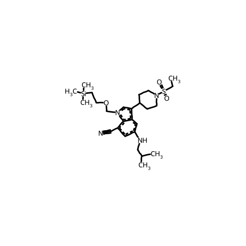 CCS(=O)(=O)N1CCC(c2cn(COCC[Si](C)(C)C)c3c(C#N)cc(NCC(C)C)cc23)CC1